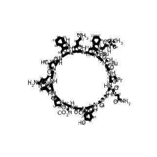 CCCC[C@H]1C(=O)N(C)[C@@H](CCCC)C(=O)N[C@@H](CC(C)C)C(=O)N[C@H](C(=O)NCC(N)=O)CSCC(=O)N[C@@H](Cc2ccc(O)cc2)C(=O)N(C)[C@@H](C)C(=O)N[C@@H](CC(=O)O)C(=O)N2CCC[C@H]2C(=O)N[C@@H](Cc2cnc[nH]2)C(=O)N[C@@H](CCCCN)C(=O)N2C[C@H](O)C[C@H]2C(=O)N[C@@H](Cc2c[nH]c3ccccc23)C(=O)N[C@@H](CCCCN)C(=O)N[C@@H](Cc2cn(CC(=O)NS(C)(=O)=O)c3ccccc23)C(=O)N1C